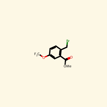 COC(=O)c1cc(OC(F)(F)F)ccc1CBr